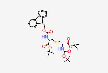 CC(C)(C)OC(=O)N[C@H](CSC[C@H](NC(=O)OCC1c2ccccc2-c2ccccc21)C(=O)OC(C)(C)C)C(=O)OC(C)(C)C